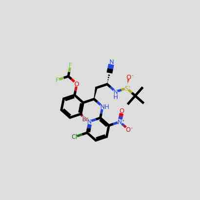 CC(C)(C)[S@@+]([O-])N[C@@H](C#N)C[C@@H](Nc1nc(Cl)ccc1[N+](=O)[O-])c1c(Br)cccc1OC(F)F